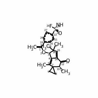 C=C(O[C@@H]1C2=C(C)C3(CC3)[C@H](C)C(=O)C2=CC1(C)C)c1ccc(S(=N)(=O)F)cc1